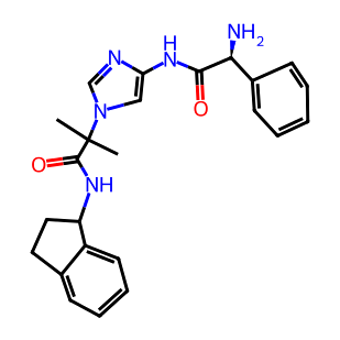 CC(C)(C(=O)NC1CCc2ccccc21)n1cnc(NC(=O)[C@@H](N)c2ccccc2)c1